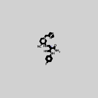 N#C[C@@H]1CCN(Cc2cscn2)CC1N/C=C(\C(=N)Nc1ccc(F)cc1)C(N)=O